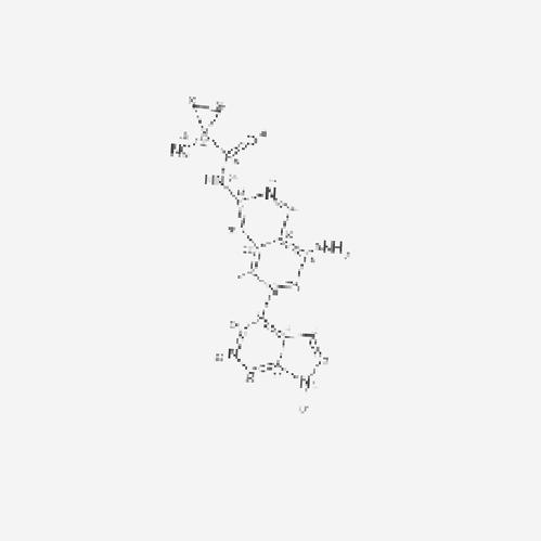 Cn1ccc2c(-c3cc(N)c4cnc(NC(=O)C5(C#N)CC5)cc4c3)cncc21